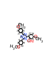 COc1ccc(-c2nc(C3=C(O)CC(OC)C=C3)nc(-c3ccc(OC)cc3)n2)cc1